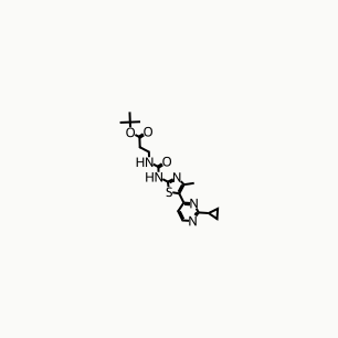 Cc1nc(NC(=O)NCCC(=O)OC(C)(C)C)sc1-c1ccnc(C2CC2)n1